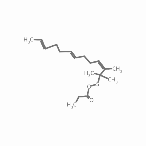 CC=CCCC=CCCC=C(C)C(C)(C)SOC(=O)CC